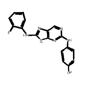 Oc1ccc(Nc2ncc3nc(Nc4ccccc4F)[nH]c3n2)cc1